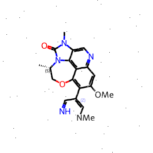 CN/C=C(\C=N)c1c(OC)cc2ncc3c4c2c1OC[C@H](C)n4c(=O)n3C